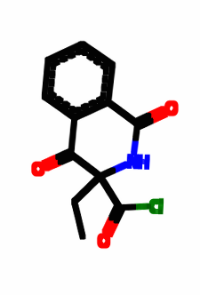 CCC1(C(=O)Cl)NC(=O)c2ccccc2C1=O